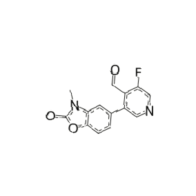 Cn1c(=O)oc2ccc(-c3cncc(F)c3C=O)cc21